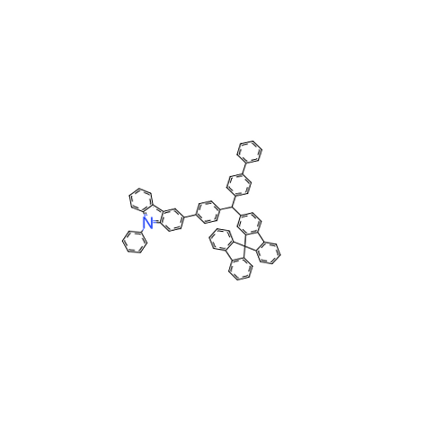 c1ccc(-c2ccc(C(c3ccc(-c4ccc5c(c4)c4ccccc4n5-c4ccccc4)cc3)c3ccc4c(c3)C3(c5ccccc5-c5ccccc53)c3ccccc3-4)cc2)cc1